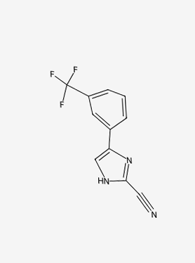 N#Cc1nc(-c2cccc(C(F)(F)F)c2)c[nH]1